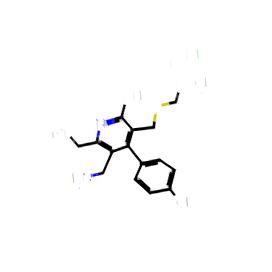 Cc1ccc(-c2c(CSCC(=O)O)c(C)nc(CC(C)C)c2CN)cc1.Cl.Cl